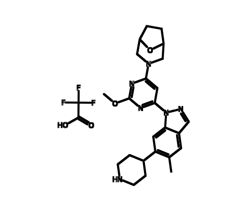 COc1nc(N2CC3CCC(C2)O3)cc(-n2ncc3cc(C)c(C4CCNCC4)cc32)n1.O=C(O)C(F)(F)F